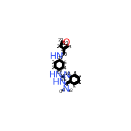 CN(C)C1=c2ccccc2=NC(N[C@H]2CC[C@@H](NCc3ccoc3)CC2)N1